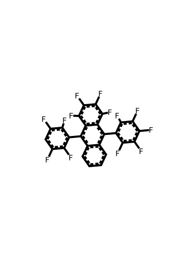 Fc1cc(F)c(F)c(-c2c3ccccc3c(-c3c(F)c(F)c(F)c(F)c3F)c3c(F)c(F)c(F)c(F)c23)c1F